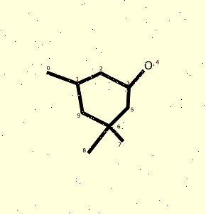 CC1CC([O])CC(C)(C)C1